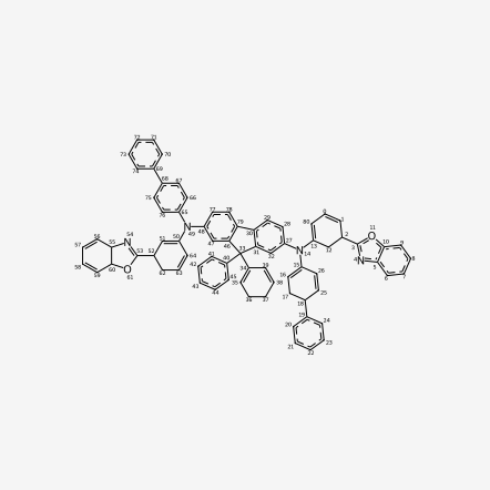 C1=CC(c2nc3ccccc3o2)CC(N(C2=CCC(c3ccccc3)C=C2)c2ccc3c(c2)C(C2=CCCC=C2)(c2ccccc2)c2cc(N(C4=CC(C5=NC6C=CC=CC6O5)CC=C4)c4ccc(-c5ccccc5)cc4)ccc2-3)=C1